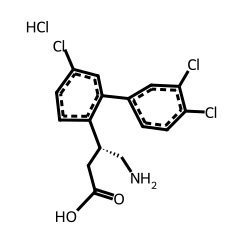 Cl.NC[C@H](CC(=O)O)c1ccc(Cl)cc1-c1ccc(Cl)c(Cl)c1